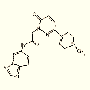 C[C@H]1CC=C(c2ccc(=O)n(CC(=O)Nc3ccc4ncnn4c3)n2)CC1